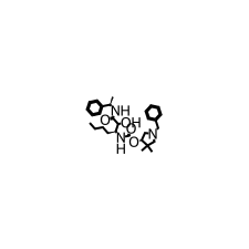 CCCC[C@H](NC(=O)O[C@@H]1CN(Cc2ccccc2)CC1(C)C)C(O)C(=O)N[C@H](C)c1ccccc1